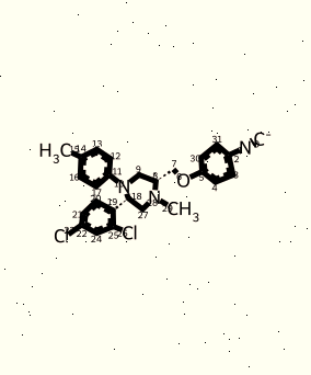 [C-]#[N+]c1ccc(OC[C@H]2CN(c3ccc(C)cc3)[C@@H](c3ccc(Cl)cc3Cl)CN2C)cc1